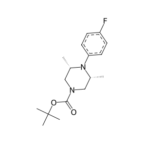 C[C@@H]1CN(C(=O)OC(C)(C)C)C[C@H](C)N1c1ccc(F)cc1